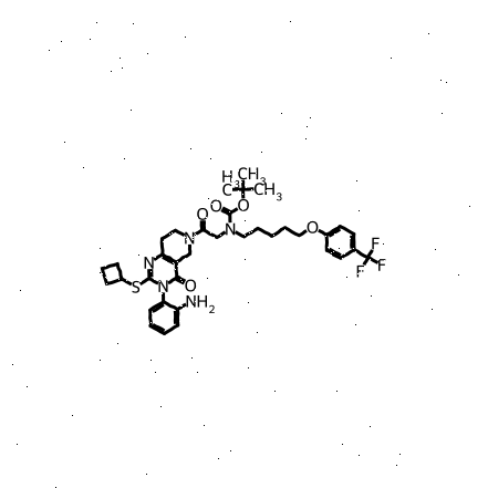 CC(C)(C)OC(=O)N(CCCCCOc1ccc(C(F)(F)F)cc1)CC(=O)N1CCc2nc(SC3CCC3)n(-c3ccccc3N)c(=O)c2C1